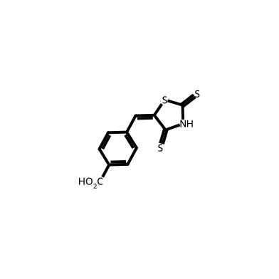 O=C(O)c1ccc(C=C2SC(=S)NC2=S)cc1